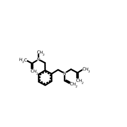 C=CN(CC(=C)C)Cc1ccccc1CN(C)C(=C)C